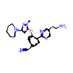 Cn1nc(N2CCCCC2)cc1Oc1cc(C#N)ccc1-c1ncc(CCN)cn1